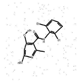 CCCCc1cc(OCCC)c(C(=O)Nc2c(CC)cccc2CC)c(C)n1